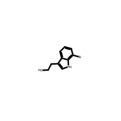 OCCc1c[nH]c2c(Br)cccc12